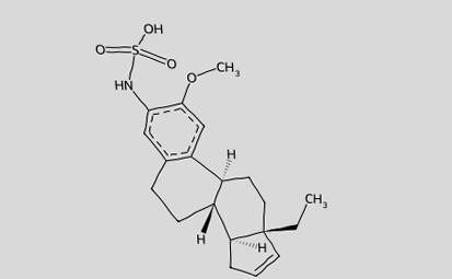 CC[C@@]12C=CC[C@H]1[C@@H]1CCc3cc(NS(=O)(=O)O)c(OC)cc3[C@H]1CC2